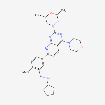 COc1ccc(-c2ccc3c(N4CCOCC4)nc(N4CC(C)OC(C)C4)nc3n2)cc1CNC1CCCC1